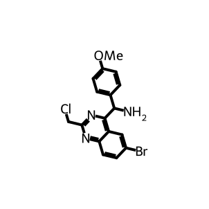 COc1ccc(C(N)c2nc(CCl)nc3ccc(Br)cc23)cc1